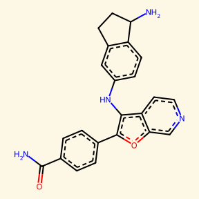 NC(=O)c1ccc(-c2oc3cnccc3c2Nc2ccc3c(c2)CCC3N)cc1